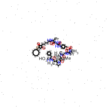 CC[C@H](C)[C@@H]([C@@H](CC(=O)N1CCC[C@H]1[C@H](OC)[C@@H](C)C(=O)N[C@@H](Cc1ccccc1)C(=O)O)OC)N(C)C(=O)CNC(=O)C(C(C)C)N(C)C(=O)OCc1ccc(NC(=O)CNC(=O)C(NC(=O)CCCCCC2C(=O)C=C(SC3CCCCCCCCC3)C2=O)C(C)C)cc1